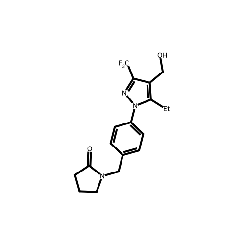 CCc1c(CO)c(C(F)(F)F)nn1-c1ccc(CN2CCCC2=O)cc1